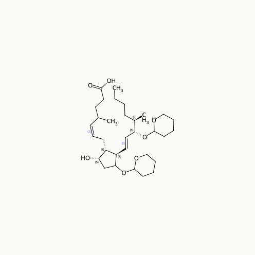 CCCC[C@@H](C)[C@@H](/C=C/[C@H]1C(OC2CCCCO2)C[C@H](O)[C@@H]1C/C=C\C(C)CCC(=O)O)OC1CCCCO1